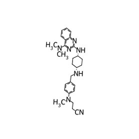 CN(C)c1nc(N[C@H]2CC[C@@H](NCc3ccc(N(C)CCC#N)cc3)CC2)nc2ccccc12